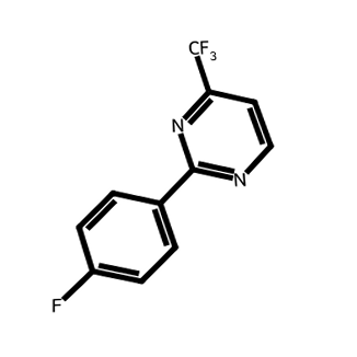 Fc1ccc(-c2nccc(C(F)(F)F)n2)cc1